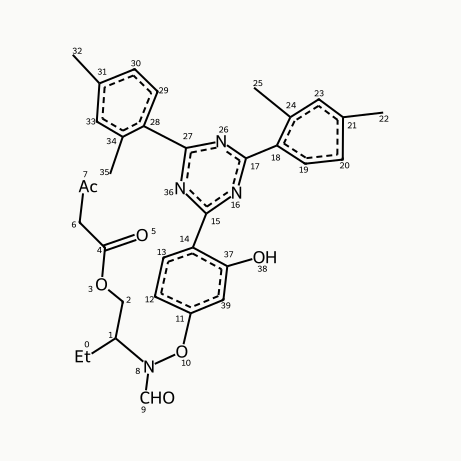 CCC(COC(=O)CC(C)=O)N(C=O)Oc1ccc(-c2nc(-c3ccc(C)cc3C)nc(-c3ccc(C)cc3C)n2)c(O)c1